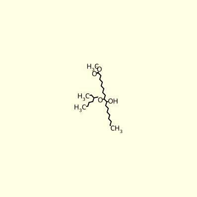 CCCCCCCCC(O)C(CCCCCCCC(=O)OC)OCC(CC)CCCC